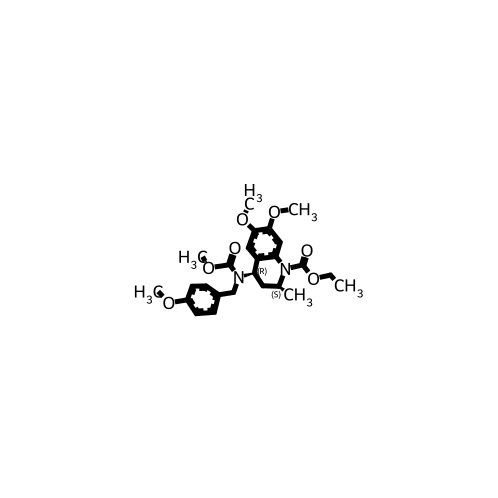 CCOC(=O)N1c2cc(OC)c(OC)cc2[C@H](N(Cc2ccc(OC)cc2)C(=O)OC)C[C@@H]1C